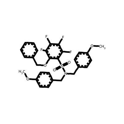 COc1ccc(CN(Cc2ccc(OC)cc2)S(=O)(=O)c2c(F)c(F)c(F)c(F)c2OCc2ccccc2)cc1